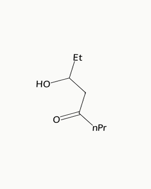 CCCC(=O)CC(O)CC